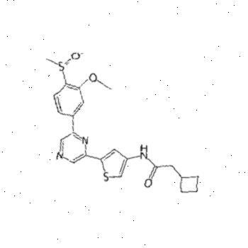 COc1cc(-c2cncc(-c3cc(NC(=O)CC4CCC4)cs3)n2)ccc1[S+](C)[O-]